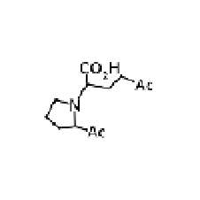 CC(=O)CCC(C(=O)O)N1CCCC1C(C)=O